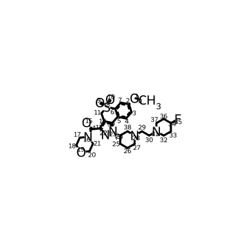 COc1ccc2c(c1)S(=O)(=O)Cc1c(C(=O)N3CCOCC3)nn([C@H]3CCCN(CCN4CCC(F)CC4)C3)c1-2